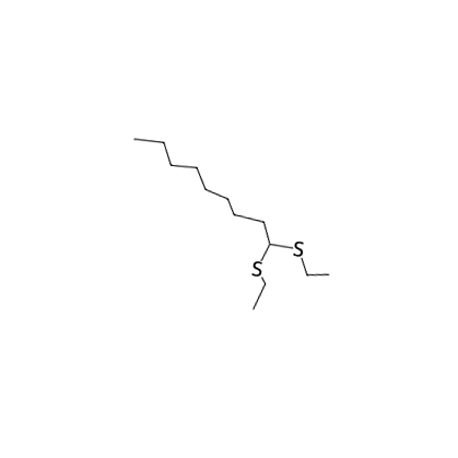 CCCCCCCCC(SCC)SCC